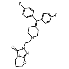 O=c1n(CCN2CCC(=C(c3ccc(F)cc3)c3ccc(F)cc3)CC2)nc2n1CCCO2